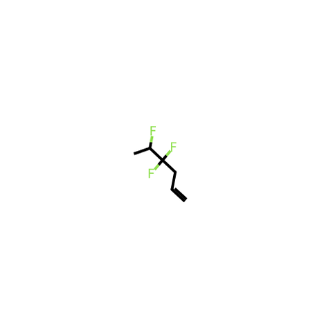 C=CCC(F)(F)C(C)F